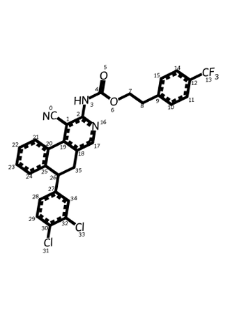 N#Cc1c(NC(=O)OCCc2ccc(C(F)(F)F)cc2)ncc2c1-c1ccccc1C(c1ccc(Cl)c(Cl)c1)C2